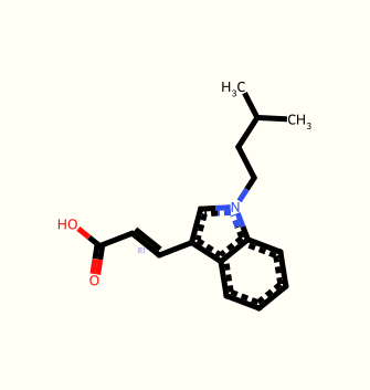 CC(C)CCn1cc(/C=C/C(=O)O)c2ccccc21